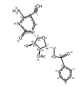 C#Cc1cn([C@@H]2O[C@H](COC(=O)c3ccccc3)[C@@H](OC(C)=O)[C@H]2F)c(=O)nc1N